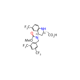 COC(=O)N(Cc1cc(C(F)(F)F)cc(C(F)(F)F)c1)[C@H]1C[C@@H](CC(=O)O)Nc2ccc(C(F)(F)F)cc21